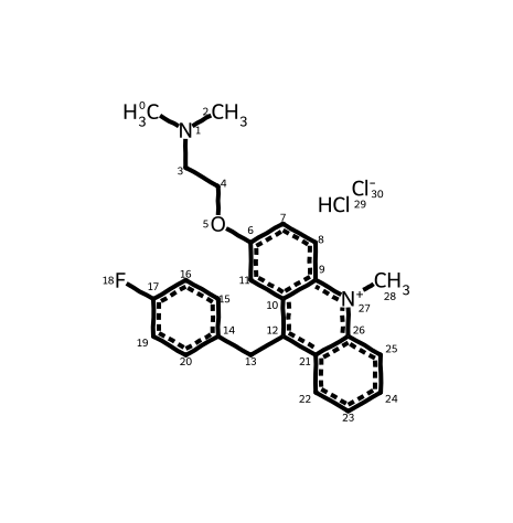 CN(C)CCOc1ccc2c(c1)c(Cc1ccc(F)cc1)c1ccccc1[n+]2C.Cl.[Cl-]